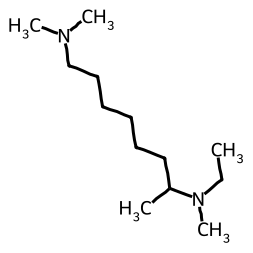 CCN(C)C(C)CCCCCCN(C)C